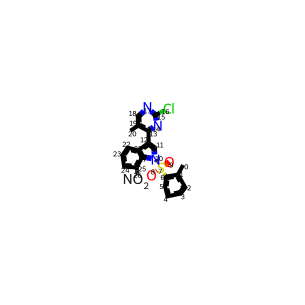 Cc1ccccc1S(=O)(=O)n1cc(-c2nc(Cl)ncc2C)c2cccc([N+](=O)[O-])c21